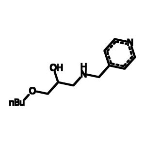 CCCCOCC(O)CNCc1ccncc1